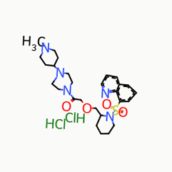 CN1CCC(N2CCN(C(=O)COCC3CCCCN3S(=O)(=O)c3cccc4cccnc34)CC2)CC1.Cl.Cl